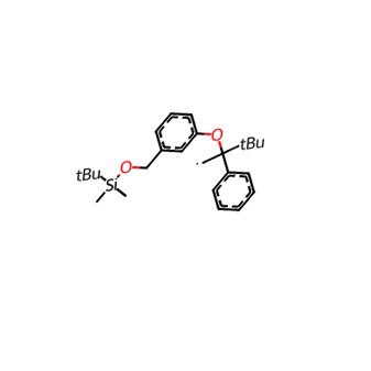 [CH2]C(Oc1cccc(CO[Si](C)(C)C(C)(C)C)c1)(c1ccccc1)C(C)(C)C